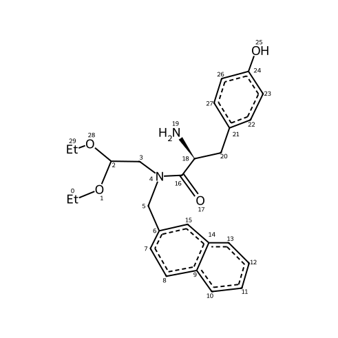 CCOC(CN(Cc1ccc2ccccc2c1)C(=O)[C@@H](N)Cc1ccc(O)cc1)OCC